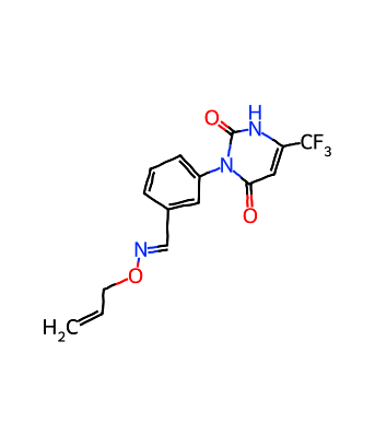 C=CCON=Cc1cccc(-n2c(=O)cc(C(F)(F)F)[nH]c2=O)c1